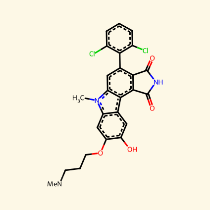 CNCCCOc1cc2c(cc1O)c1c3c(c(-c4c(Cl)cccc4Cl)cc1n2C)C(=O)NC3=O